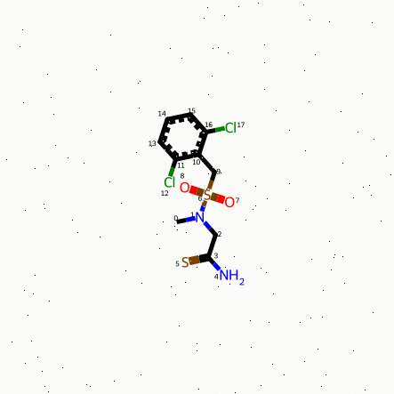 CN(CC(N)=S)S(=O)(=O)Cc1c(Cl)cccc1Cl